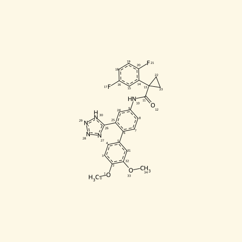 COc1ccc(-c2ccc(NC(=O)C3(c4cc(F)ccc4F)CC3)cc2-c2nnn[nH]2)cc1OC